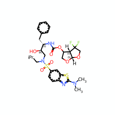 CC(C)CN(C[C@@H](O)[C@H](Cc1ccccc1)NC(=O)OC1CO[C@H]2OCC(F)(F)[C@@H]12)S(=O)(=O)c1ccc2nc(N(C)C)sc2c1